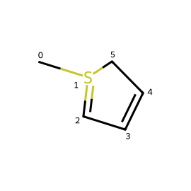 CS1=CC=CC1